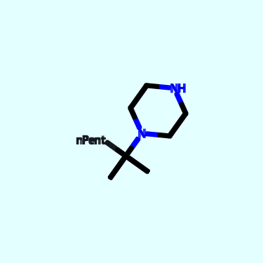 CCCCCC(C)(C)N1CCNCC1